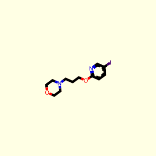 Ic1ccc(OCCCN2CCOCC2)nc1